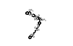 CC(CC(=O)N1CCC(O)(Cn2cnc3c(-c4ccc(CNCC(=O)NCCCCNC(=O)c5ccccc5)cc4)n(C)nc3c2=O)CC1)c1ccccc1